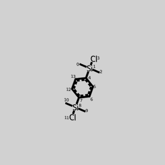 C[Si](C)(Cl)c1ccc([Si](C)(C)Cl)cc1